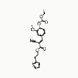 CCOC(=O)Oc1ccc(/C=C(\C#N)C(=O)OCCc2cccs2)cc1OC